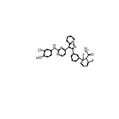 NC(=O)C1C(F)=CC=CC1(F)c1cccc(-c2nn3ccccc3c2-c2ccnc(Nc3ccc(O)c(Cl)c3)n2)c1